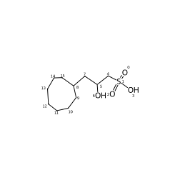 O=S(=O)(O)CC(O)CC1CCCCCCC1